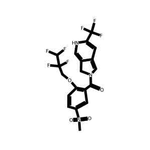 CS(=O)(=O)c1ccc(OCC(F)(F)C(F)F)c(C(=O)N2C=C3C=C(C(F)(F)F)NC=C3C2)c1